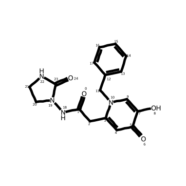 O=C(Cc1cc(=O)c(O)cn1Cc1ccccc1)NN1CCNC1=O